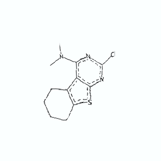 CN(C)c1nc(Cl)nc2sc3c(c12)CCCC3